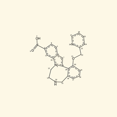 O=C(O)c1ccc2cc3n(c2c1)CCNCc1cccc(OCc2ccccn2)c1-3